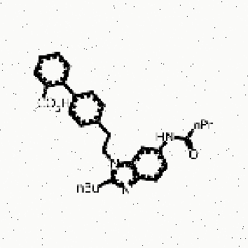 CCCCc1nc2ccc(NC(=O)CCC)cc2n1CCc1ccc(-c2ccccc2C(=O)O)cc1